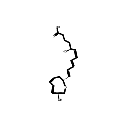 O=C(O)CCC[C@H](O)\C=C/C=C/C=C/[C@H]1C/C=C\C=C\[C@H](O)CO1